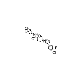 O=C(N[C@H]1C[C@H](OC(F)(F)F)C1)[C@H]1CC[C@H](n2cnc(-c3ccc(Cl)c(F)c3)c2)CO1